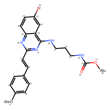 COc1ccc(/C=C/c2nc(NCCCNC(=O)OC(C)(C)C)c3cc(Br)ccc3n2)cc1